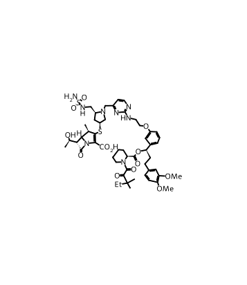 CCC(C)(C)C(=O)C(=O)N1CCCC[C@H]1C(=O)O[C@H](CCc1ccc(OC)c(OC)c1)c1cccc(OCCNc2nccc(CN3C[C@@H](SC4=C(C(=O)O)N5C(=O)[C@H]([C@@H](C)O)[C@H]5[C@H]4C)C[C@H]3CNS(N)(=O)=O)n2)c1